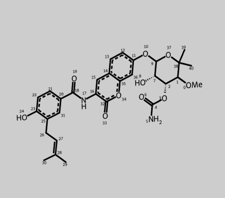 COC1[C@H](OC(N)=O)[C@H](O)C(Oc2ccc3cc(NC(=O)c4ccc(O)c(CC=C(C)C)c4)c(=O)oc3c2)OC1(C)C